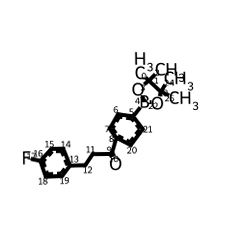 CC1(C)OB(c2ccc(C(=O)CCc3ccc(F)cc3)cc2)OC1(C)C